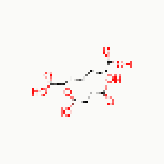 O=C(O)CCC(=O)O.O=C(O)CCCCCC(=O)O